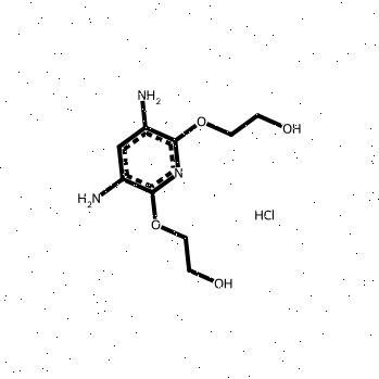 Cl.Nc1cc(N)c(OCCO)nc1OCCO